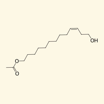 CC(=O)OCCCCCCCCC/C=C\CCO